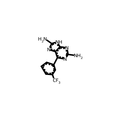 Nc1nc(-c2cccc(C(F)(F)F)c2)c2nc(N)[nH]c2n1